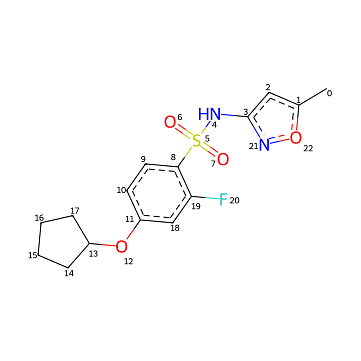 Cc1cc(NS(=O)(=O)c2ccc(OC3CCCC3)cc2F)no1